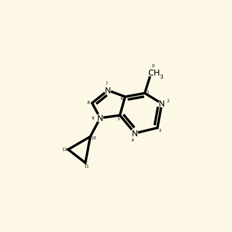 Cc1ncnc2c1ncn2C1CC1